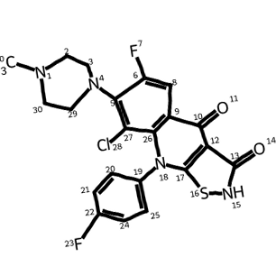 CN1CCN(c2c(F)cc3c(=O)c4c(=O)[nH]sc4n(-c4ccc(F)cc4)c3c2Cl)CC1